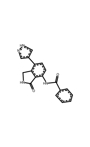 O=C(Nc1ccc(-c2cn[nH]c2)c2c1C(=O)NC2)c1ccccc1